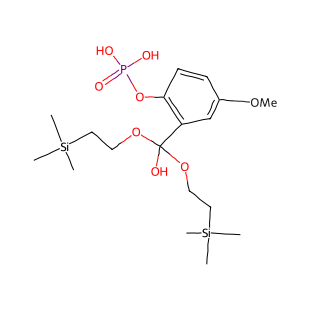 COc1ccc(OP(=O)(O)O)c(C(O)(OCC[Si](C)(C)C)OCC[Si](C)(C)C)c1